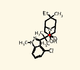 CCC1(C)CC2CC(O)CC(C1)N2C(=O)C(C)(C)c1nn(C)c2cccc(Cl)c12